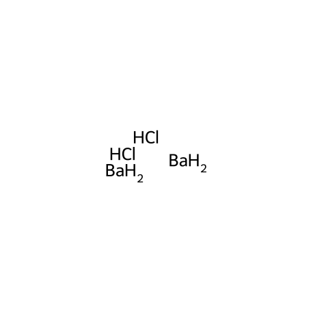 Cl.Cl.[BaH2].[BaH2]